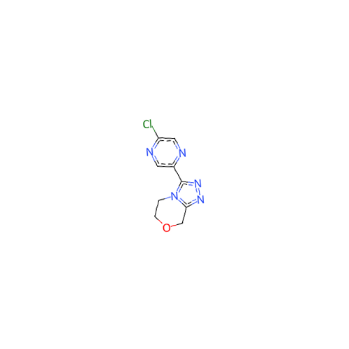 Clc1cnc(-c2nnc3n2CCOC3)cn1